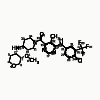 CO[C@@H]1COCC[C@@H]1NC1CCN(C(=O)c2ncnc(Nc3ccc(Cl)c(C(F)(F)F)c3)c2C)CC1